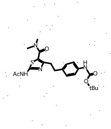 CC(=O)Nc1nc(CCc2ccc(NC(=O)OC(C)(C)C)cc2)c(C(=O)N(C)C)s1